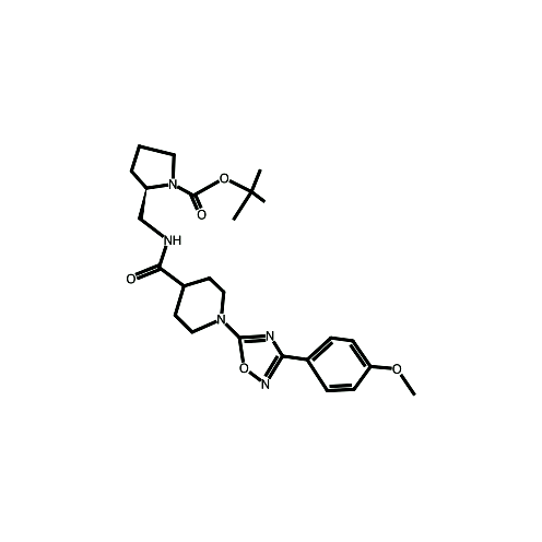 COc1ccc(-c2noc(N3CCC(C(=O)NC[C@H]4CCCN4C(=O)OC(C)(C)C)CC3)n2)cc1